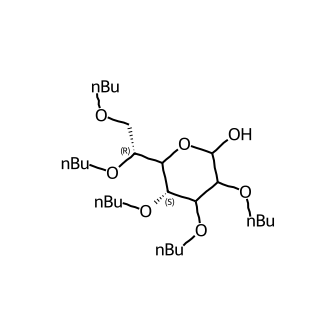 CCCCOC[C@@H](OCCCC)C1OC(O)C(OCCCC)C(OCCCC)[C@@H]1OCCCC